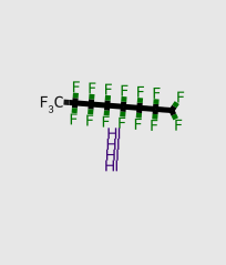 FC(F)C(F)(F)C(F)(F)C(F)(F)C(F)(F)C(F)(F)C(F)(F)C(F)(F)F.I.I.I.I